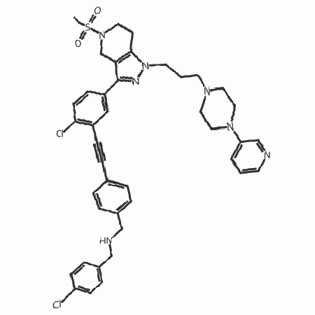 CS(=O)(=O)N1CCc2c(c(-c3ccc(Cl)c(C#Cc4ccc(CNCc5ccc(Cl)cc5)cc4)c3)nn2CCCN2CCN(c3cccnc3)CC2)C1